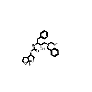 CC(C)CN(Cc1ccccc1)C[C@@H](O)[C@H](Cc1ccccc1)NC(=O)OC1CO[C@H]2OCCC12